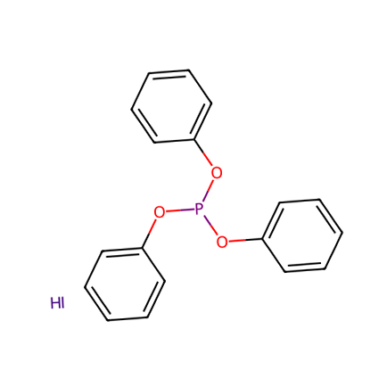 I.c1ccc(OP(Oc2ccccc2)Oc2ccccc2)cc1